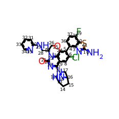 Nc1nc2c(-c3c(Cl)cc4c(N5CC6CCC(C5)N6)nc(=O)n5c4c3OC[C@@H]5CNc3ccccn3)ccc(F)c2s1